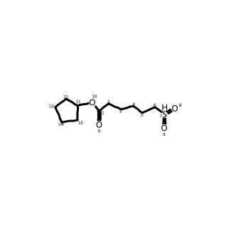 O=C(CCCCC[SH](=O)=O)OC1CCCC1